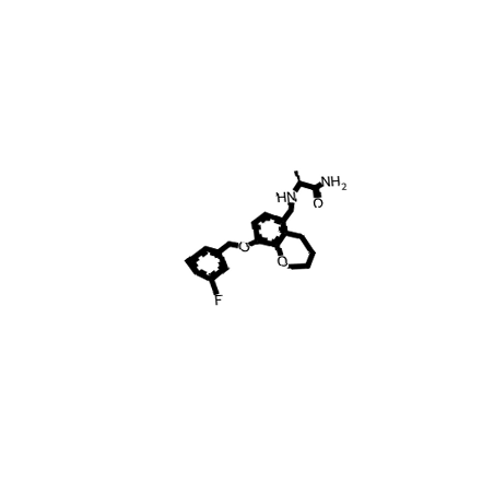 C[C@H](NCc1ccc(OCc2cccc(F)c2)c2c1CCCCO2)C(N)=O